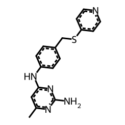 Cc1cc(Nc2ccc(CSc3ccncc3)cc2)nc(N)n1